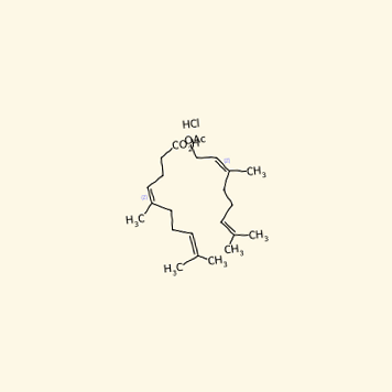 CC(=O)OC/C=C(/C)CCC=C(C)C.CC(C)=CCC/C(C)=C\CCC(=O)O.Cl